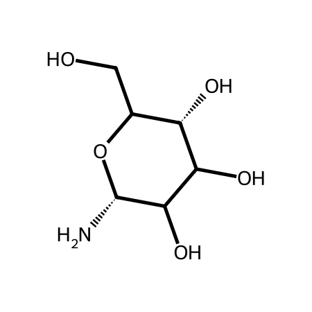 N[C@@H]1OC(CO)[C@H](O)C(O)C1O